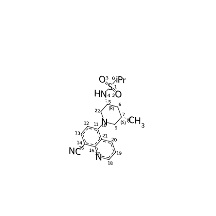 CC(C)S(=O)(=O)N[C@@H]1C[C@H](C)CN(c2ccc(C#N)c3ncccc23)C1